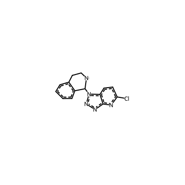 Clc1ccc2c(nnn2C2[N]CCc3ccccc32)n1